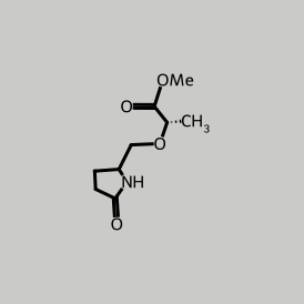 COC(=O)[C@H](C)OCC1CCC(=O)N1